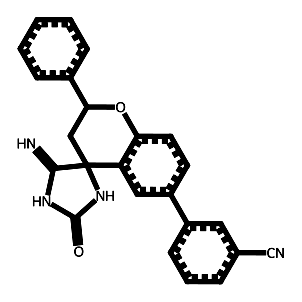 N#Cc1cccc(-c2ccc3c(c2)C2(CC(c4ccccc4)O3)NC(=O)NC2=N)c1